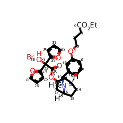 CCOC(=O)CCCOc1cccc(C[N+]2(C)[C@@H]3CC[C@H]2CC(OC(=O)C(O)(c2ccco2)c2ccco2)C3)c1.[Br-]